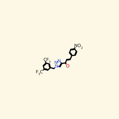 O=C(C=Cc1ccc([N+](=O)[O-])cc1)c1cn(Cc2cc(C(F)(F)F)cc(C(F)(F)F)c2)nn1